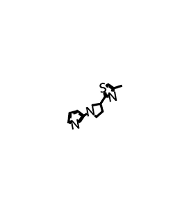 Cc1csc(C2CCN(c3cccnc3)C2)n1